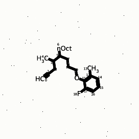 C#CCC(C)C(CCCCCCCC)CCCOc1c(C)cccc1F